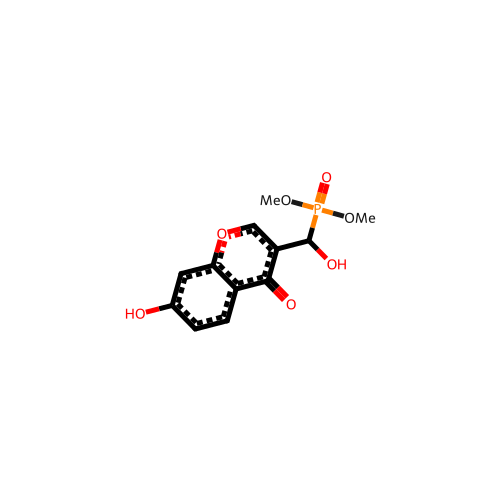 COP(=O)(OC)C(O)c1coc2cc(O)ccc2c1=O